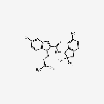 [C-]#[N+]c1ccc2c(c1)[C@H](NC(=O)c1cc3cc(Cl)ccc3n1CCN(C)C)C(C)(C)C2